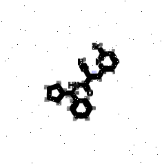 N#C/C(=C\c1cccc(Br)n1)C(=O)N[C@@H](c1ccccc1)C1CCCC1